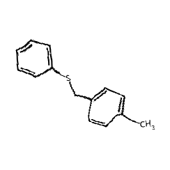 Cc1ccc(CSc2ccccc2)cc1